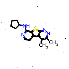 Cc1nnc2sc3c(NC4CCCC4)nccc3c2c1C